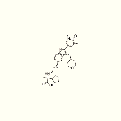 Cc1cc(-c2nc3ccc(OCCNC(C)(C(=O)O)C4CCCC4)cc3n2CC2CCOCC2)cn(C)c1=O